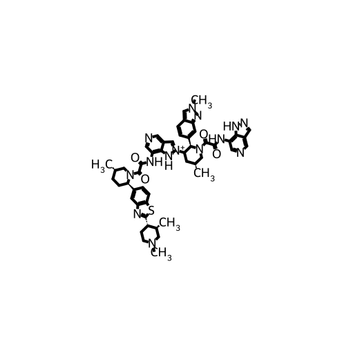 C[C@@H]1CC([n+]2cc3cncc(NC(=O)C(=O)N4C[C@@H](C)CC[C@@H]4c4ccc5sc([C@H]6CCN(C)C[C@@H]6C)nc5c4)c3[nH]2)[C@@H](c2ccc3cn(C)nc3c2)N(C(=O)C(=O)Nc2cncc3cn[nH]c23)C1